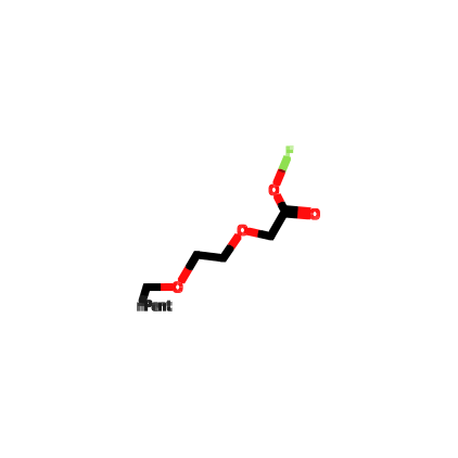 CCCCCCOCCOCC(=O)OF